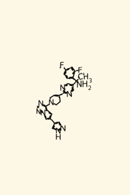 CC(N)(c1cnc(C2=CCN(c3ncnn4cc(-c5cn[nH]c5)cc34)CC2)nc1)c1ccc(F)cc1F